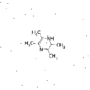 CC1=NC(C)=C(C)NC1C